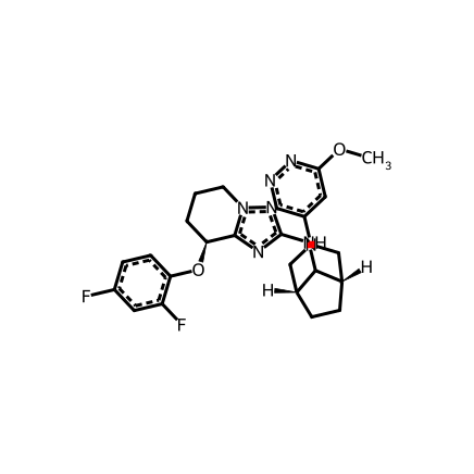 COc1cc(N2C[C@H]3CC[C@@H](C2)C3Nc2nc3n(n2)CCC[C@@H]3Oc2ccc(F)cc2F)cnn1